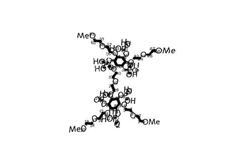 COCCOCCO[C@@H]1[C@@H](O[PH](=O)O)[C@H](OCCOCCOC)[C@@H](O[PH](=O)O)[C@@H](OCCOCCO[C@H]2[C@@H](CP(=O)(O)O)[C@H](OCCOCCOC)[C@@H](O[PH](=O)O)[C@H](OCCOCCOC)[C@H]2OP(=O)(O)O)[C@H]1O[PH](=O)O